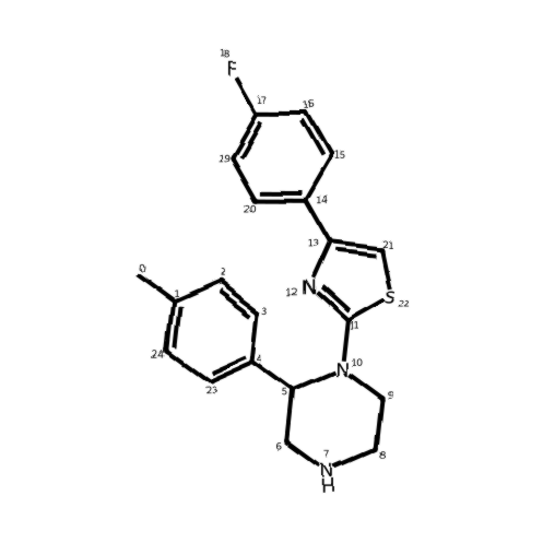 Cc1ccc(C2CNCCN2c2nc(-c3ccc(F)cc3)cs2)cc1